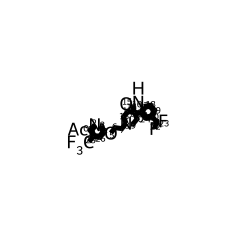 CC(=O)c1ncc(OCCN2CCC3(CC2)C(=O)Nc2ccc(C(F)F)cc23)cc1C(F)(F)F